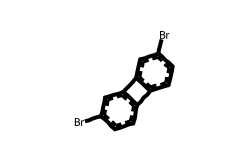 Brc1ccc2c(c1)-c1cc(Br)ccc1-2